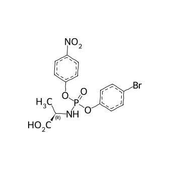 C[C@@H](NP(=O)(Oc1ccc(Br)cc1)Oc1ccc([N+](=O)[O-])cc1)C(=O)O